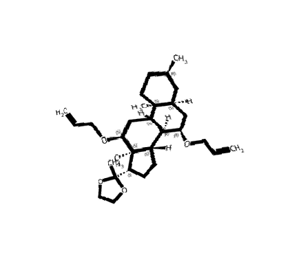 C=CCO[C@H]1C[C@H]2[C@@H]([C@H](OCC=C)C[C@@H]3C[C@H](C)CC[C@@]32C)[C@@H]2CC[C@H](C3(C)OCCO3)[C@@]12C